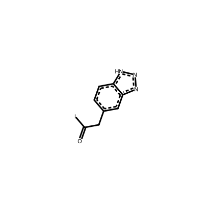 O=C(I)Cc1ccc2[nH]nnc2c1